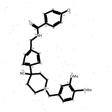 COc1ccc(CN2CCC(C#N)(c3ccc(CNC(=O)c4ccc(Cl)cc4)cc3)CC2)cc1OC